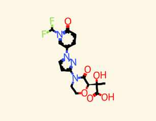 CC(O)(C(=O)O)[C@H]1OCCN(c2ccn(-c3ccc(=O)n(C(F)F)c3)n2)C1=O